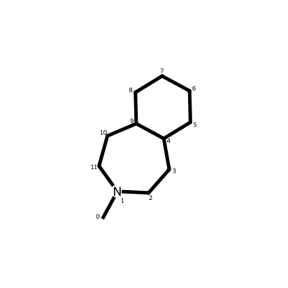 CN1CCC2CCCCC2CC1